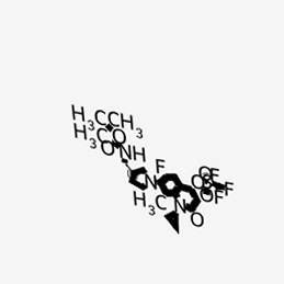 Cc1c(N2CC[C@H](CNC(=O)OC(C)(C)C)C2)c(F)cc2c(OS(=O)(=O)C(F)(F)F)cc(=O)n(C3CC3)c12